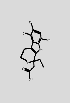 CCC1(CC(=O)O)OCCc2c1[nH]c1c(Cl)cc(Cl)c(Cl)c21